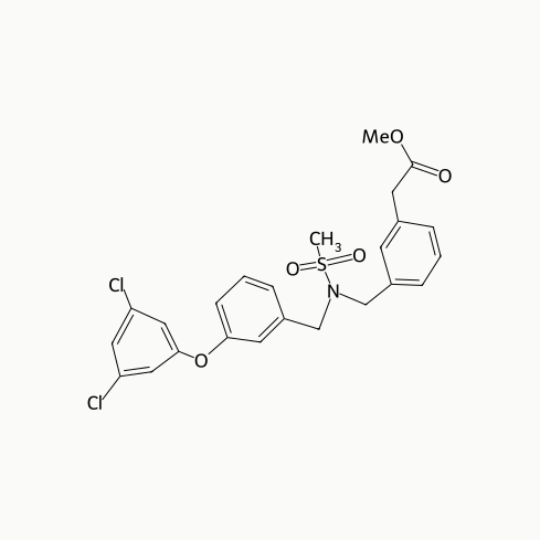 COC(=O)Cc1cccc(CN(Cc2cccc(Oc3cc(Cl)cc(Cl)c3)c2)S(C)(=O)=O)c1